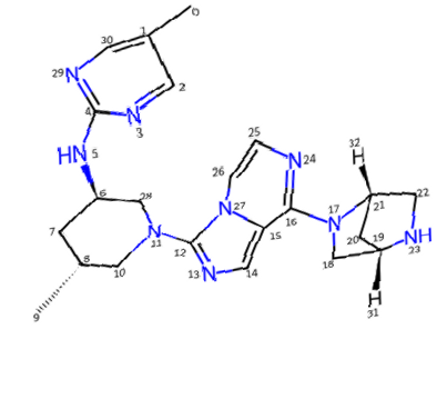 Cc1cnc(N[C@@H]2C[C@@H](C)CN(c3ncc4c(N5C[C@@H]6C[C@H]5CN6)nccn34)C2)nc1